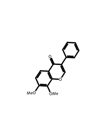 COc1ccc2c(=O)c(-c3ccccc3)coc2c1OC